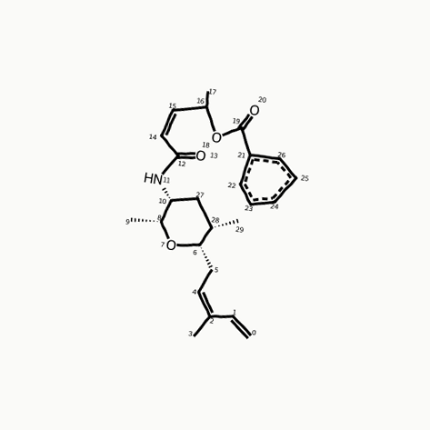 C=C/C(C)=C\C[C@@H]1O[C@H](C)[C@H](NC(=O)/C=C\C(C)OC(=O)c2ccccc2)C[C@@H]1C